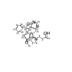 C=C(O)CCN1CCC[C@H]1CCc1ncnc2oc(-c3ccccc3)c(-c3ccc(OC)cc3)c12